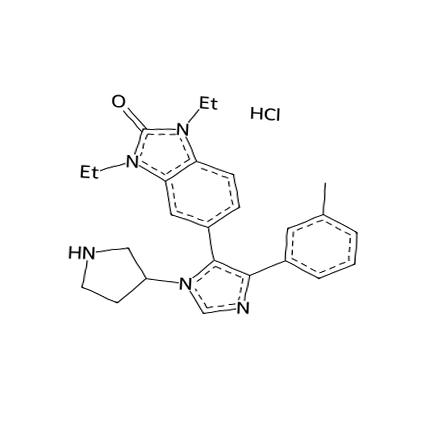 CCn1c(=O)n(CC)c2cc(-c3c(-c4cccc(C)c4)ncn3C3CCNC3)ccc21.Cl